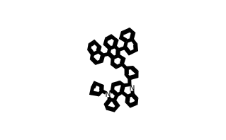 c1ccc(-n2c3ccccc3c3c4c(ccc32)c(-c2cccc(-c3ccc5c(-c6cccc7ccccc67)c6ccccc6c(-c6cccc7ccccc67)c5c3)c2)nc2ccccc24)cc1